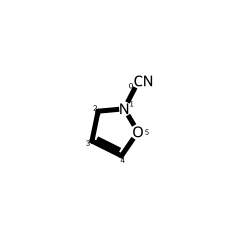 N#CN1[C]C=CO1